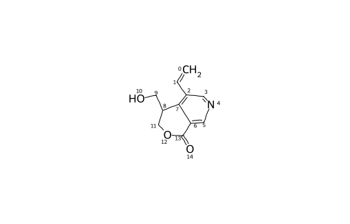 C=Cc1cncc2c1C(CO)COC2=O